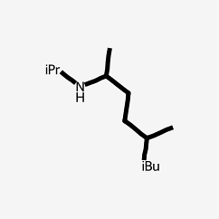 CCC(C)C(C)CCC(C)NC(C)C